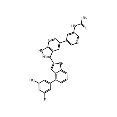 CCCCC(=O)Nc1cncc(-c2cnc3[nH]nc(-c4cc5c(-c6cc(O)cc(F)c6)cccc5[nH]4)c3c2)c1